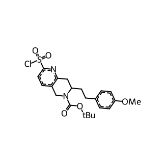 COc1ccc(CCC2Cc3nc(S(=O)(=O)Cl)ccc3CN2C(=O)OC(C)(C)C)cc1